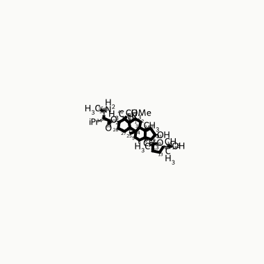 CO[C@H]1CC2C3(CC[C@]4(C)[C@@H]([C@@]5(C)CC[C@@H](C(C)(C)O)O5)[C@@H](O)C[C@@]24C)C[C@@]32CC[C@H](OC(=O)[C@H](C(C)C)I(C)N)C(C)(C)[C@H]12